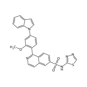 COc1cc(-n2ccc3ccccc32)ccc1-c1nccc2cc(S(=O)(=O)Nc3nncs3)ccc12